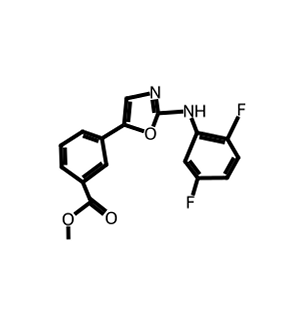 COC(=O)c1cccc(-c2cnc(Nc3cc(F)ccc3F)o2)c1